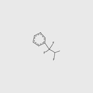 CC(F)C(F)(F)c1[c]cccc1